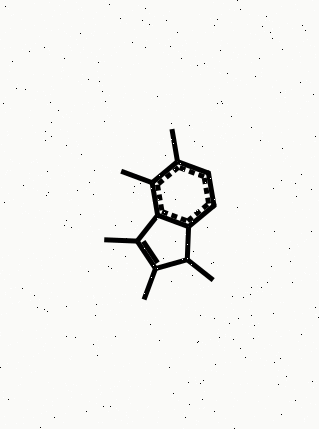 CC1=C(C)C(C)c2ccc(C)c(C)c21